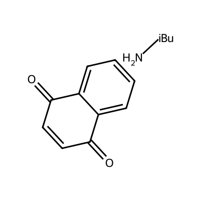 CCC(C)N.O=C1C=CC(=O)c2ccccc21